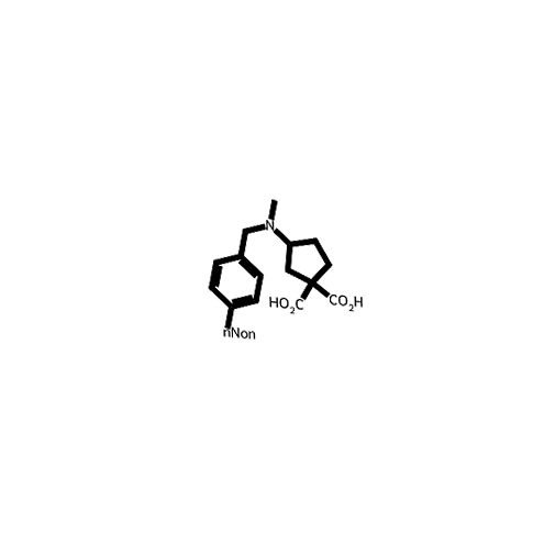 CCCCCCCCCc1ccc(CN(C)C2CCC(C(=O)O)(C(=O)O)C2)cc1